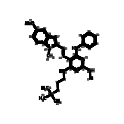 CCNc1nc(NCCC[N+](C)(C)C)c(/N=N/c2sc3cc(OC)ccc3[n+]2C)c(Nc2ccccc2)n1